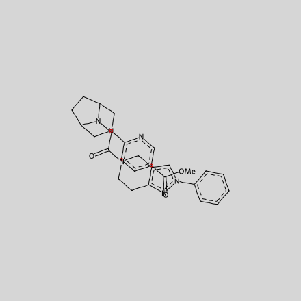 COC(=O)c1ccc(N2CC3CCC(C2)N3CC(=O)N2CCc3nn(-c4ccccc4)cc3C2)nc1